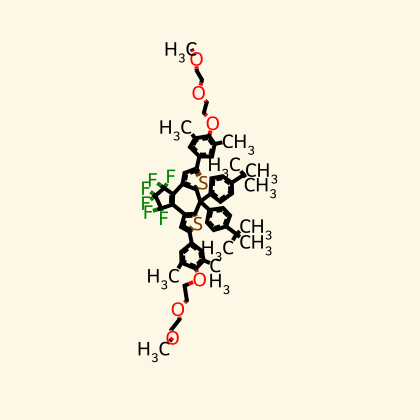 COCCOCCOc1c(C)cc(-c2cc3c(s2)C(c2ccc(C(C)(C)C)cc2)(c2ccc(C(C)(C)C)cc2)c2sc(-c4cc(C)c(OCCOCCOC)c(C)c4)cc2C2=C3C(F)(F)C(F)(F)C2(F)F)cc1C